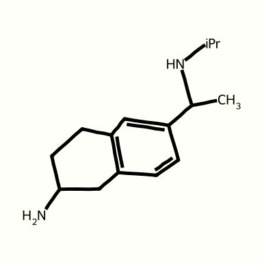 CC(C)NC(C)c1ccc2c(c1)CCC(N)C2